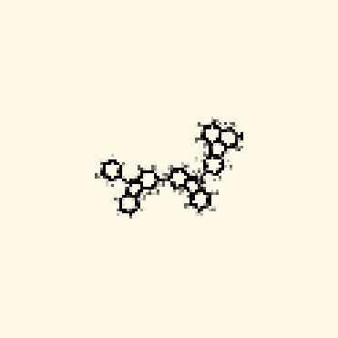 c1ccc(-n2c3ccccc3c3cc(-c4ccc5c(c4)c4ccccc4n5-c4ccc5c(c4)-c4cccc6cncc-5c46)ccc32)cc1